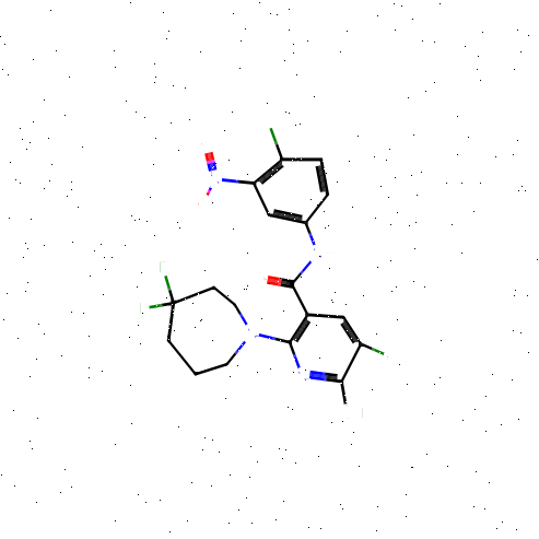 Cc1nc(N2CCCC(F)(F)CC2)c(C(=O)Nc2ccc(F)c([N+](=O)[O-])c2)cc1Cl